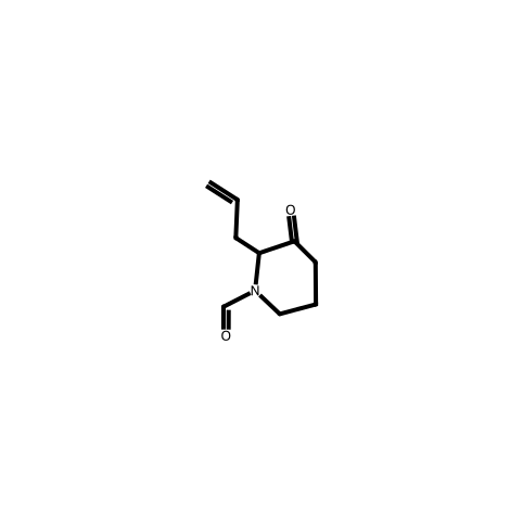 C=CCC1C(=O)CCCN1C=O